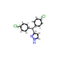 Clc1ccc(C(c2ccc(Cl)cc2)c2cc[nH]n2)cc1